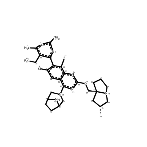 Cc1cc(N)nc(-c2c(Cl)cc3c(N4CC5CCC(C4)N5)nc(OC[C@@]45CCCN4C[C@H](F)C5)nc3c2F)c1CC(F)(F)F